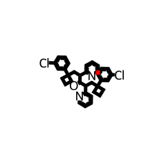 O=C(C(CC1(c2cccc(Cl)c2)CCC1)c1ccccn1)C(CC1(c2cccc(Cl)c2)CCC1)c1ccccn1